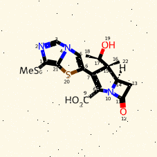 CSc1ncn2cc(C3=C(C(=O)O)N4C(=O)C[C@@H]4[C@@]3(C)[C@@H](C)O)sc12